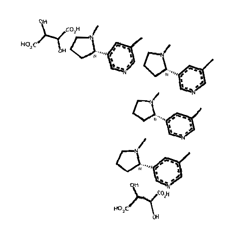 Cc1cncc([C@@H]2CCCN2C)c1.Cc1cncc([C@@H]2CCCN2C)c1.Cc1cncc([C@@H]2CCCN2C)c1.Cc1cncc([C@@H]2CCCN2C)c1.O=C(O)C(O)C(O)C(=O)O.O=C(O)C(O)C(O)C(=O)O